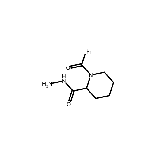 CC(C)C(=O)N1CCCCC1C(=O)NN